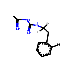 [2H]c1ccccc1CC([2H])([2H])NC(=N)NC(C)=N